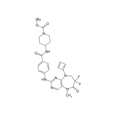 CN1C(=O)C(F)(F)CN(C2=CC=C2)c2nc(Nc3ccc(C(=O)NC4CCN(C(=O)OC(C)(C)C)CC4)cc3)ncc21